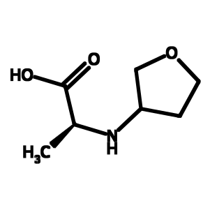 C[C@H](NC1CCOC1)C(=O)O